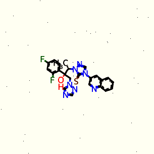 C[C@@H](n1ncn(-c2cnc3ccccc3c2)c1=S)[C@](O)(Cn1cncn1)c1ccc(F)cc1F